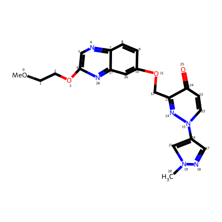 COCCOc1cnc2ccc(OCc3nn(-c4cnn(C)c4)ccc3=O)cc2n1